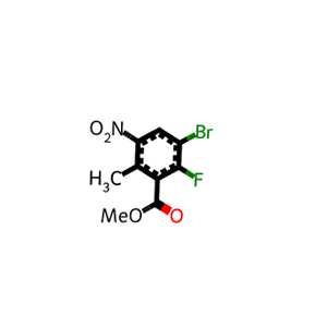 COC(=O)c1c(C)c([N+](=O)[O-])cc(Br)c1F